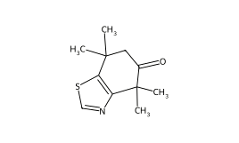 CC1(C)CC(=O)C(C)(C)c2ncsc21